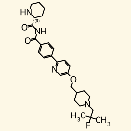 CC(C)(F)CN1CCC(COc2ccc(-c3ccc(C(=O)NC(=O)[C@H]4CCCCN4)cc3)nc2)CC1